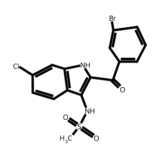 CS(=O)(=O)Nc1c(C(=O)c2cccc(Br)c2)[nH]c2cc(Cl)ccc12